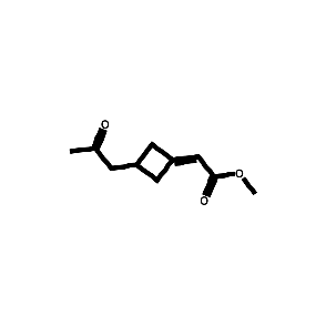 COC(=O)C=C1CC(CC(C)=O)C1